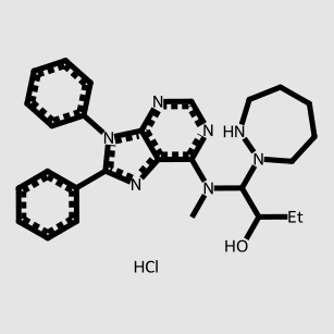 CCC(O)C(N1CCCCCN1)N(C)c1ncnc2c1nc(-c1ccccc1)n2-c1ccccc1.Cl